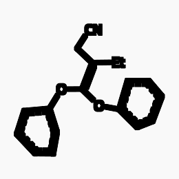 CCC(CC#N)=C(Oc1ccccc1)Oc1ccccc1